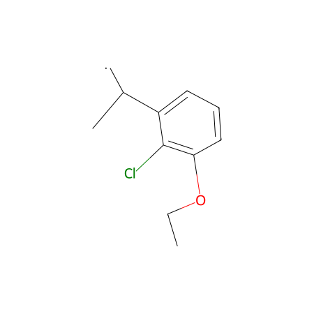 [CH2]C(C)c1cccc(OCC)c1Cl